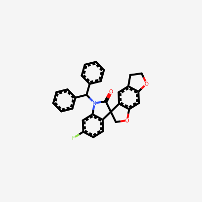 O=C1N(C(c2ccccc2)c2ccccc2)c2cc(F)ccc2C12COc1cc3c(cc12)CCO3